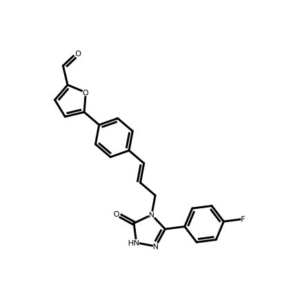 O=Cc1ccc(-c2ccc(C=CCn3c(-c4ccc(F)cc4)n[nH]c3=O)cc2)o1